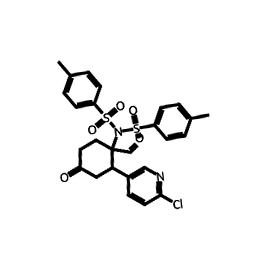 C=CC1(N(S(=O)(=O)c2ccc(C)cc2)S(=O)(=O)c2ccc(C)cc2)CCC(=O)CC1c1ccc(Cl)nc1